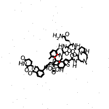 Cc1ccc(C[C@H](NC(=O)[C@H](CCC(N)=O)NC(=O)[C@@H]2CC[C@@H]3CCN(C)C[C@H](NC(=O)c4cc5cc(C(F)(F)P(=O)(O)O)ccc5s4)C(=O)N32)C(=O)N2CCC(CCC#Cc3cccc4c3CN(C3CCC(=O)NC3=O)C4=O)CC2)cc1